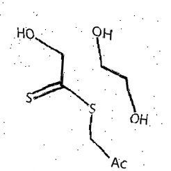 CC(=O)CSC(=S)CO.OCCO